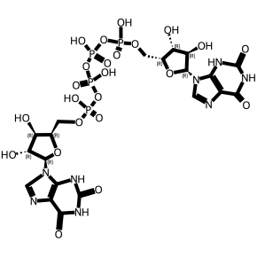 O=c1[nH]c(=O)c2ncn([C@@H]3O[C@H](COP(=O)(O)OP(=O)(O)OP(=O)(O)OP(=O)(O)OC[C@H]4O[C@@H](n5cnc6c(=O)[nH]c(=O)[nH]c65)[C@H](O)[C@H]4O)[C@H](O)[C@H]3O)c2[nH]1